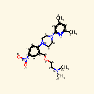 Cc1cc(C)nc(N2CCN(c3ccc([N+](=O)[O-])cc3COCCN(C)C)CC2)c1